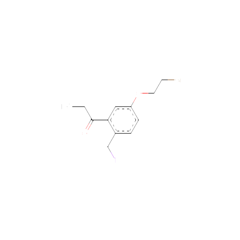 CCC(=O)c1cc(OCCBr)ccc1CI